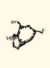 CC(C)c1cc(F)cc2cc[nH]c12